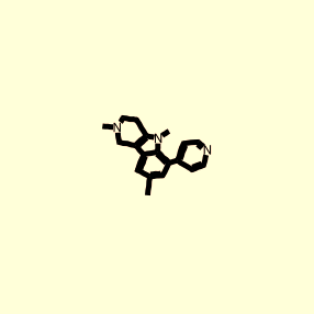 Cc1cc(-c2ccncc2)c2c(c1)c1c(n2C)CCN(C)C1